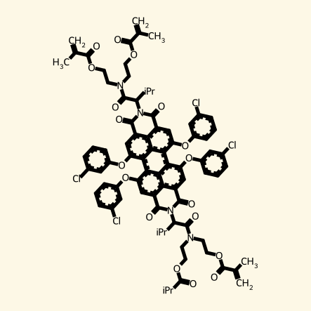 C=C(C)C(=O)OCCN(CCOC(=O)C(=C)C)C(=O)C(C(C)C)N1C(=O)c2cc(Oc3cccc(Cl)c3)c3c4c(Oc5cccc(Cl)c5)cc5c6c(cc(Oc7cccc(Cl)c7)c(c7c(Oc8cccc(Cl)c8)cc(c2c37)C1=O)c64)C(=O)N(C(C(=O)N(CCOC(=O)C(=C)C)CCOC(=O)C(C)C)C(C)C)C5=O